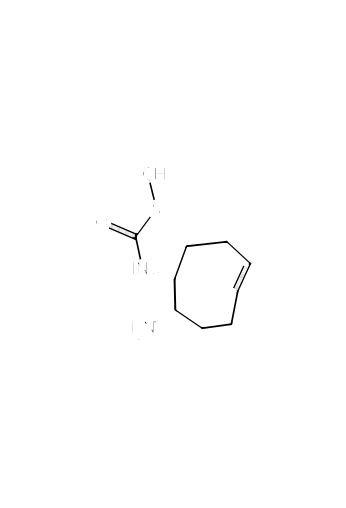 CSC(=O)N[C@@H]1CC/C=C/CC[C@@H]1N